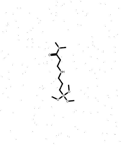 CO[Si](CCCNCCC(=O)N(C)C)(OC)OC